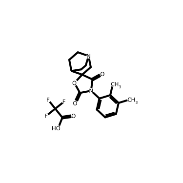 Cc1cccc(N2C(=O)OC3(CN4CCC3CC4)C2=O)c1C.O=C(O)C(F)(F)F